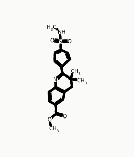 CNS(=O)(=O)c1ccc(C2=Nc3ccc(C(=O)OC)cc3CC2(C)C)cc1